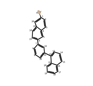 Brc1ccc2cc(-c3cccc(-c4cccc5ccccc45)c3)ccc2c1